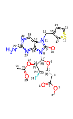 COC(=O)C[C@H]1O[C@@H](n2c(=O)n(Cc3ccsc3)c3cnc(N)nc32)[C@H](OC(C)=O)[C@@H]1F